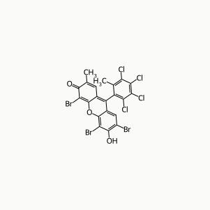 Cc1c(Cl)c(Cl)c(Cl)c(Cl)c1-c1c2cc(C)c(=O)c(Br)c-2oc2c(Br)c(O)c(Br)cc12